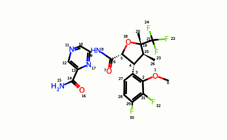 COc1c([C@@H]2[C@H](C(=O)Nc3cncc(C(N)=O)n3)O[C@](C)(C(F)(F)F)[C@H]2C)ccc(F)c1F